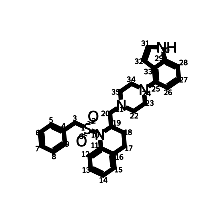 O=S(=O)(Cc1ccccc1)N1c2ccccc2CCC1CN1CCN(c2cccc3[nH]ccc23)CC1